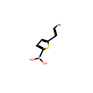 CCC/C=C/c1ccc(B(O)O)s1